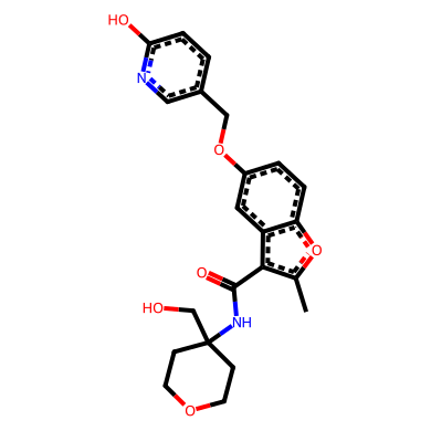 Cc1oc2ccc(OCc3ccc(O)nc3)cc2c1C(=O)NC1(CO)CCOCC1